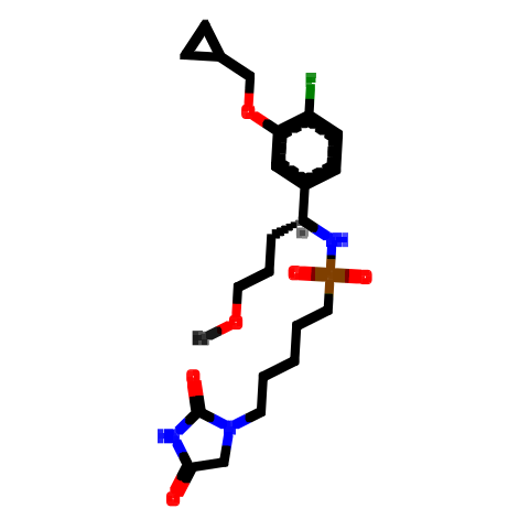 CCOCCC[C@@H](NS(=O)(=O)CCCCCN1CC(=O)NC1=O)c1ccc(F)c(OCC2CC2)c1